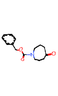 O=C1CCCN(C(=O)OCc2ccccc2)CCC1